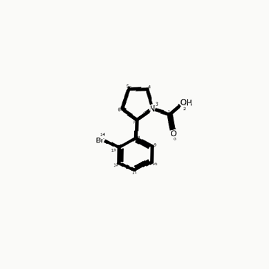 O=C(O)N1CCCC1c1ccccc1Br